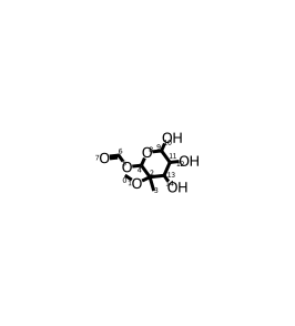 COC1(C)C(OC=O)OC(O)C(O)C1O